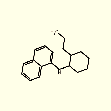 CCCC1CCCCC1Nc1cccc2ccccc12